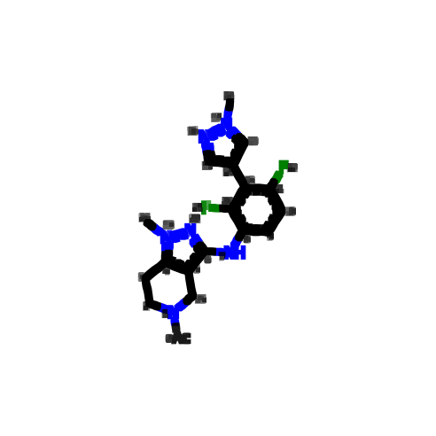 CC(=O)N1CCc2c(c(Nc3ccc(F)c(-c4cnn(C)c4)c3F)nn2C)C1